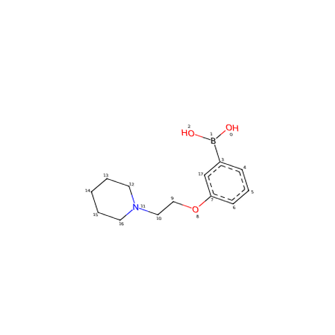 OB(O)c1cccc(OCCN2CCCCC2)c1